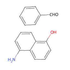 Nc1cccc2c(O)cccc12.O=Cc1ccccc1